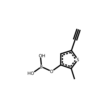 C#Cc1cc(OB(O)O)c(C)s1